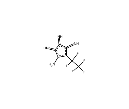 N=c1c(N)c(C(F)(F)C(F)(F)F)c(=N)c1=N